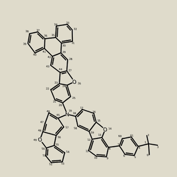 CC(C)(C)c1ccc(-c2cccc3c2oc2ccc(N(c4ccc5c(c4)oc4cc6c7ccccc7c7ccccc7c6cc45)c4ccc5oc6ccccc6c5c4)cc23)cc1